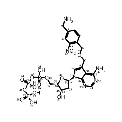 NCc1ccc(COCc2cn([C@H]3C[C@@H](O)[C@@H](COP(=O)(O)OP(=O)(O)OP(=O)(O)O)O3)c3ncnc(N)c23)c([N+](=O)[O-])c1